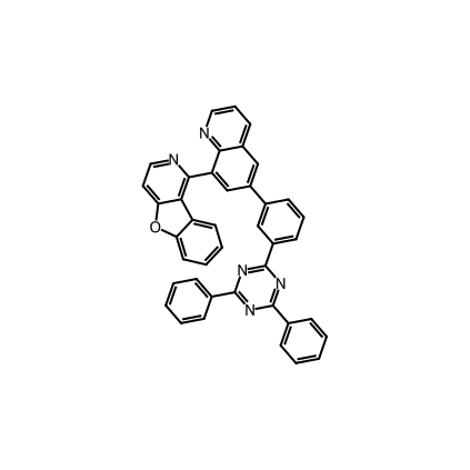 c1ccc(-c2nc(-c3ccccc3)nc(-c3cccc(-c4cc(-c5nccc6oc7ccccc7c56)c5ncccc5c4)c3)n2)cc1